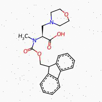 CN(C(=O)OCC1c2ccccc2-c2ccccc21)[C@@H](CN1CCOCC1)C(=O)O